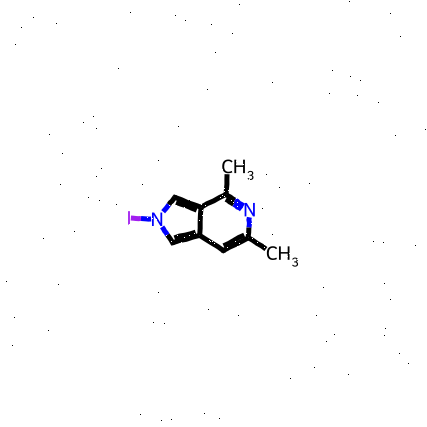 Cc1cc2cn(I)cc2c(C)n1